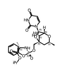 CC(C)OC(=O)[C@H](C)N[P@@](=O)(OC[C@@]12C[C@H](C)O[C@@H]([C@H](n3ccc(=O)[nH]c3=O)O1)[C@@H]2O)Oc1ccccc1